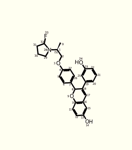 C[C@@H](COc1ccc(C2Oc3ccc(O)cc3C=C2c2cccc(O)c2)cc1)N1CCCC1F